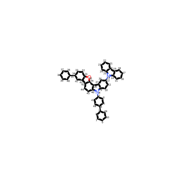 c1ccc(-c2ccc(-n3c4ccc(-n5c6ccccc6c6ccccc65)cc4c4c5oc6ccc(-c7ccccc7)cc6c5ccc43)cc2)cc1